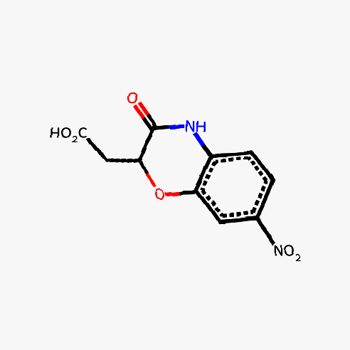 O=C(O)CC1Oc2cc([N+](=O)[O-])ccc2NC1=O